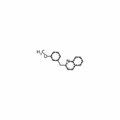 COc1cccc(Cc2ccc3ccccc3n2)c1